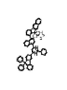 CC1(C)c2cc3ccccc3cc2-c2cccc(-c3ccc(-c4cc(-c5ccc6c(c5)-c5ccccc5C6(c5ccccc5)c5ccccc5)nc(-c5ccccc5)n4)c4ccccc34)c21